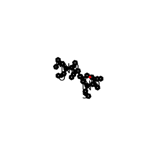 c1ccc(-n2c3ccccc3c3ccc(-c4nc(-c5ccc6oc7ccccc7c6c5)nc(-c5cc(-n6c7cc8ccccc8cc7c7c(-c8ccc9c%10ccc(-c%11nc(-c%12ccc%13sc%14ccccc%14c%13c%12)nc(-c%12cc(-n%13c%14ccccc%14c%14cc%15ccccc%15cc%14%13)c%13oc%14ccccc%14c%13c%12)n%11)cc%10n(-c%10ccccc%10)c9c8)cccc76)c6oc7ccccc7c6c5)n4)cc32)cc1